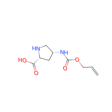 C=CCOC(=O)N[C@H]1CN[C@@H](C(=O)O)C1